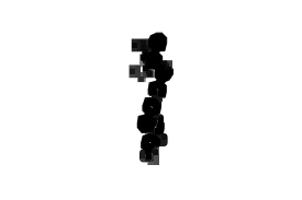 Nc1nnc(-c2ccccc2O)cc1-c1cc(C2CCN(C3CCC(c4cccc5c4OCCN5[C@@H]4CCC(=O)NC4=O)CC3)CC2)ccn1